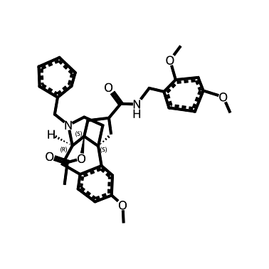 COc1ccc(CNC(=O)C2C[C@]34CCN(Cc5ccccc5)[C@H](Cc5ccc(OC)cc53)[C@]4(OC(C)=O)C2)c(OC)c1